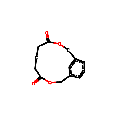 O=C1CCCC(=O)OCc2cccc(c2)CO1